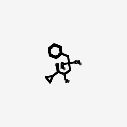 CC(C)N(CC(C)(C)Cc1ccccc1)C(=O)C1CC1